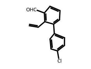 C=Cc1c(C=O)cccc1-c1ccc(Cl)cc1